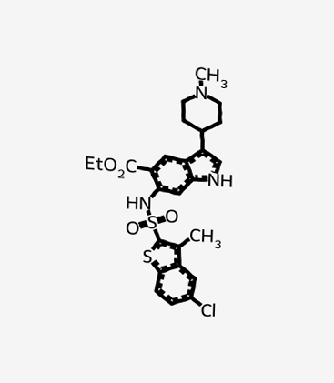 CCOC(=O)c1cc2c(C3CCN(C)CC3)c[nH]c2cc1NS(=O)(=O)c1sc2ccc(Cl)cc2c1C